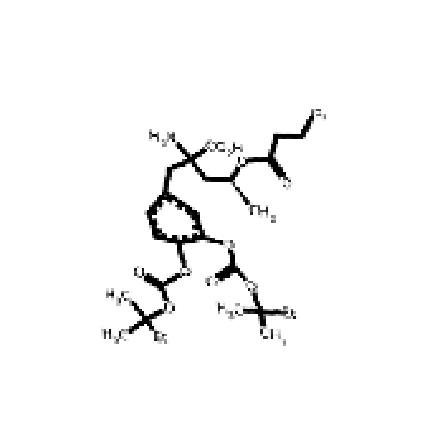 CCC(C)(C)OC(=O)Oc1ccc(CC(N)(C[C@H](C)OC(=O)CCC(C)C)C(=O)O)cc1OC(=O)OC(C)(C)CC